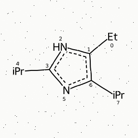 CCc1[nH]c(C(C)C)nc1C(C)C